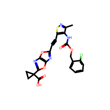 Cc1nsc(C#Cc2nc3oc(C4(C(=O)O)CC4)nc3o2)c1NC(=O)OCc1ccccc1Cl